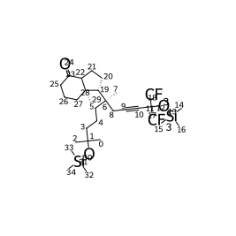 CC(C)(CCC[C@](C)(CC#CC(O[Si](C)(C)C)(C(F)(F)F)C(F)(F)F)[C@H]1CCC2C(=O)CCC[C@@]21C)O[Si](C)(C)C